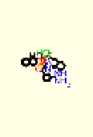 Cl.N=C(N)c1cccc(C[C@](N)(C(=O)N2CC3CCCCC3CC2C(=O)O)S(=O)(=O)c2ccc3ccccc3c2)c1